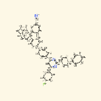 N#Cc1ccc2c(c1)C1(c3ccc(-c4ccc(-c5cc(-c6ccc(F)cc6)nc(-c6ccc(-c7ccccc7)cc6)n5)cc4)cc3-2)C2CC3CC(C2)CC1C3